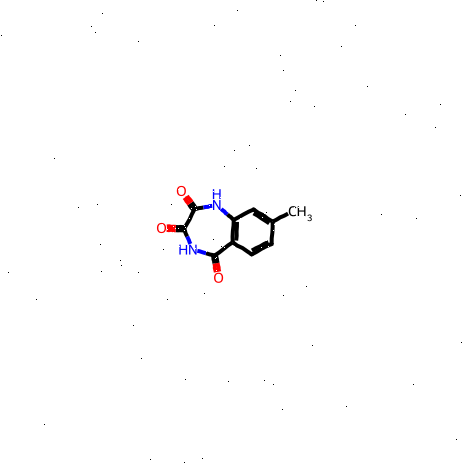 Cc1ccc2c(=O)[nH]c(=O)c(=O)[nH]c2c1